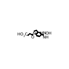 N=C(NO)c1ccc2c(c1)CCN2C(=O)CCC(=O)O